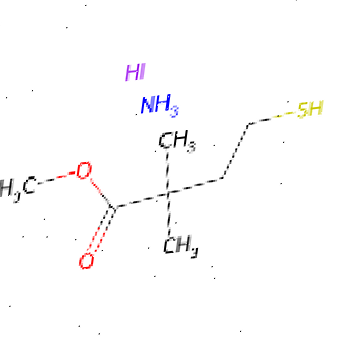 COC(=O)C(C)(C)CCS.I.N